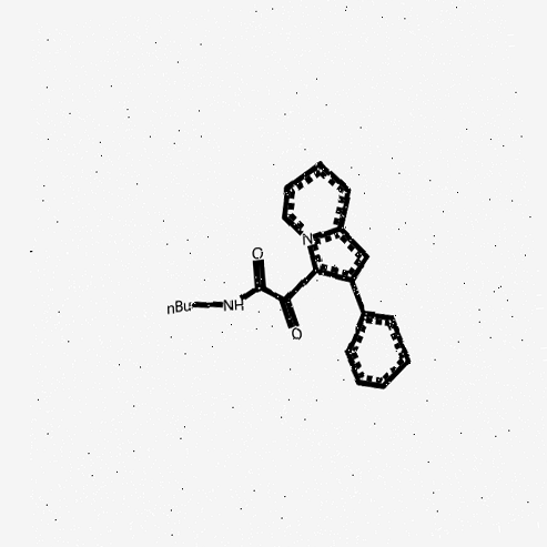 CCCCNC(=O)C(=O)c1c(-c2ccccc2)cc2ccccn12